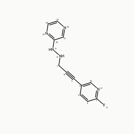 Fc1ccc(C#CCNNc2cnccn2)cn1